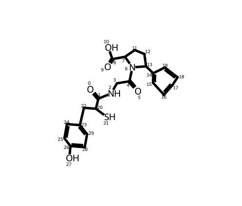 O=C(NCC(=O)N1C(C(=O)O)CCC1c1ccccc1)C(S)Cc1ccc(O)cc1